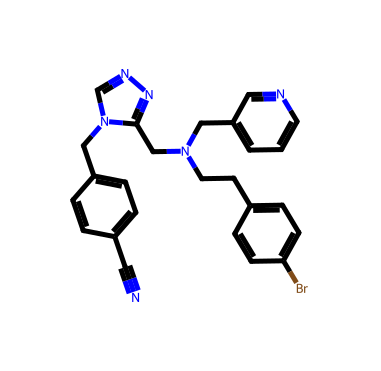 N#Cc1ccc(Cn2cnnc2CN(CCc2ccc(Br)cc2)Cc2cccnc2)cc1